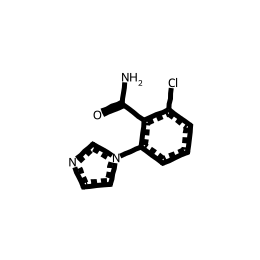 NC(=O)c1c(Cl)cccc1-n1ccnc1